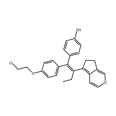 CCC(C1=C2C=COC=C2CC1)=C(c1ccc(O)cc1)c1ccc(OCCCl)cc1